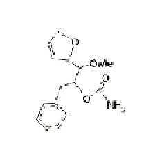 COC(C1C=CCO1)C(Cc1ccccc1)OC(N)=O